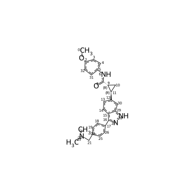 COc1ccc(NC(=O)[C@@H]2C[C@H]2c2ccc3c(-c4ccc(CN(C)C)cc4)n[nH]c3c2)cc1